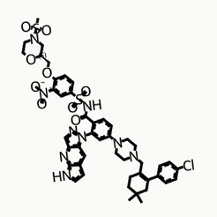 CC1(C)CCC(CN2CCN(c3ccc(C(=O)NS(=O)(=O)c4ccc(OC[C@@H]5CN(S(C)(=O)=O)CCO5)c([N+](=O)[O-])c4)c(-n4ncc5nc6[nH]ccc6cc54)c3)CC2)=C(c2ccc(Cl)cc2)C1